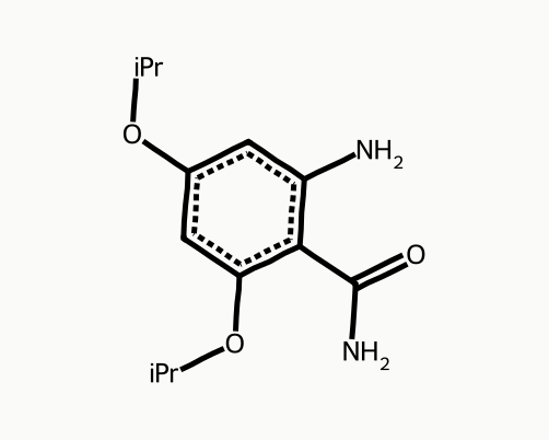 CC(C)Oc1cc(N)c(C(N)=O)c(OC(C)C)c1